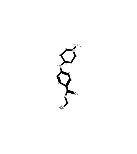 CCOC(=O)c1ccc(OC2CCN(C)CC2)cc1